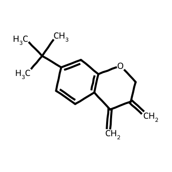 C=C1COc2cc(C(C)(C)C)ccc2C1=C